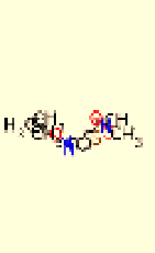 CON(C)C(=O)c1cc2c(ccc3nn(COCC[Si](C)(C)C)cc32)s1